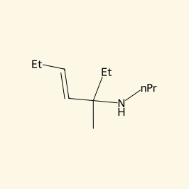 CCC=CC(C)(CC)NCCC